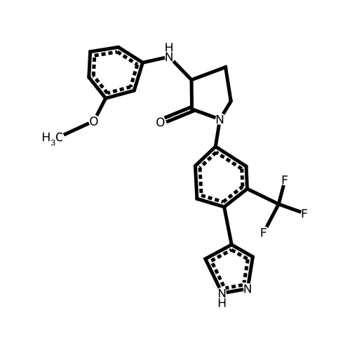 COc1cccc(NC2CCN(c3ccc(-c4cn[nH]c4)c(C(F)(F)F)c3)C2=O)c1